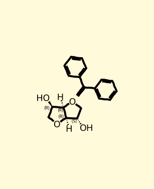 C=C(c1ccccc1)c1ccccc1.O[C@@H]1CO[C@H]2[C@@H]1OC[C@@H]2O